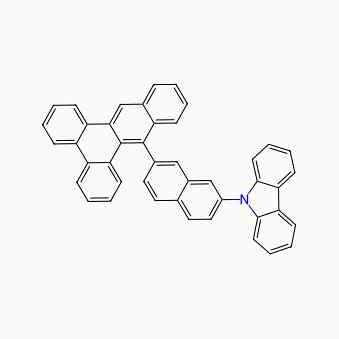 c1ccc2c(-c3ccc4ccc(-n5c6ccccc6c6ccccc65)cc4c3)c3c4ccccc4c4ccccc4c3cc2c1